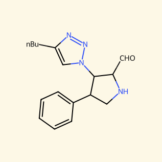 CCCCc1cn(C2C(C=O)NCC2c2ccccc2)nn1